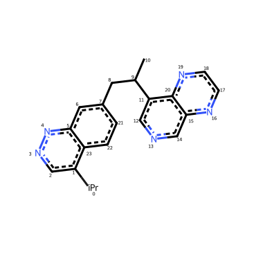 CC(C)c1cnnc2cc(CC(C)c3cncc4nccnc34)ccc12